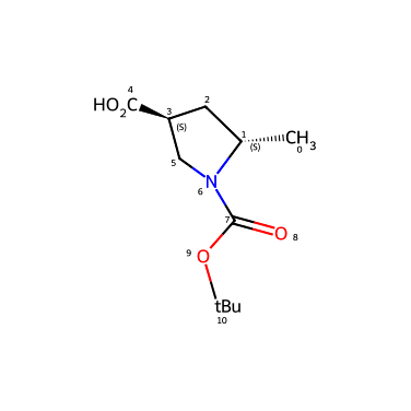 C[C@H]1C[C@H](C(=O)O)CN1C(=O)OC(C)(C)C